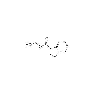 O=C(OCO)C1CCc2ccccc21